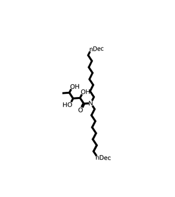 CCCCCCCCCCCCCCCCCCN(CCCCCCCCCCCCCCCCCC)C(=O)C(O)C(O)C(C)O